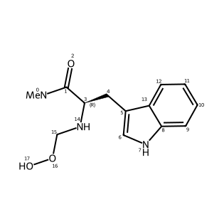 CNC(=O)[C@@H](Cc1c[nH]c2ccccc12)NCOO